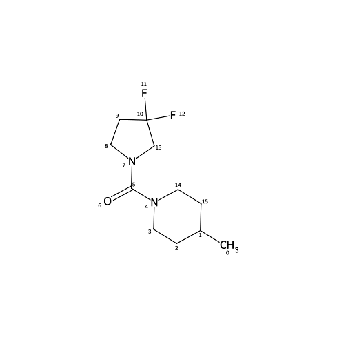 CC1CCN(C(=O)N2CCC(F)(F)C2)CC1